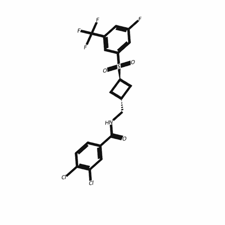 O=C(NC[C@H]1C[C@H](S(=O)(=O)c2cc(F)cc(C(F)(F)F)c2)C1)c1ccc(Cl)c(Cl)c1